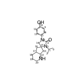 CC(C)N1C(=O)N(c2ccc(O)cc2)CC12CC1CCCNC1C2